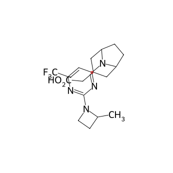 CC1CCN1c1nc(N2C3CCC2CC(CC(=O)O)C3)cc(C(F)(F)F)n1